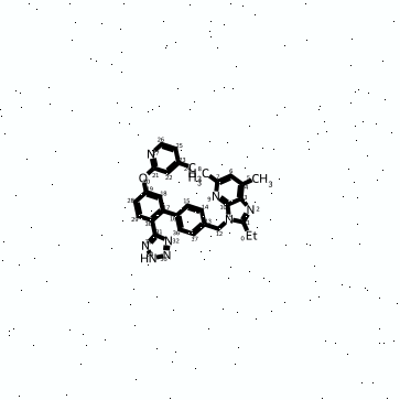 CCc1nc2c(C)cc(C)nc2n1Cc1ccc(-c2cc(Oc3cc(C)ccn3)ccc2-c2nn[nH]n2)cc1